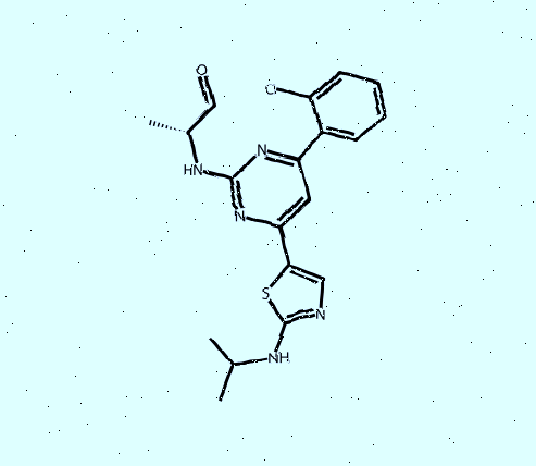 CC(C)Nc1ncc(-c2cc(-c3ccccc3Cl)nc(N[C@H](C)C=O)n2)s1